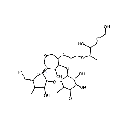 CC(OCCOC1COC/C(=C2\OC(CO)C(C)C(O)C2O)C(O)C1OC1OC(C)C(O)C(O)C1O)C(O)COCO